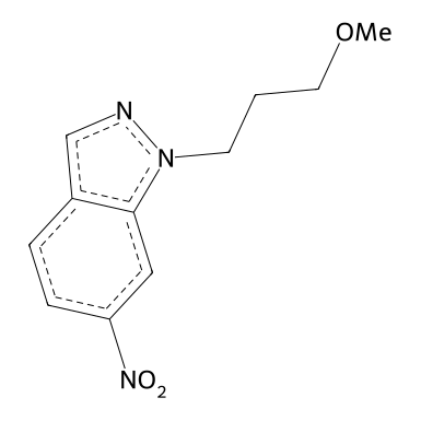 COCCCn1ncc2ccc([N+](=O)[O-])cc21